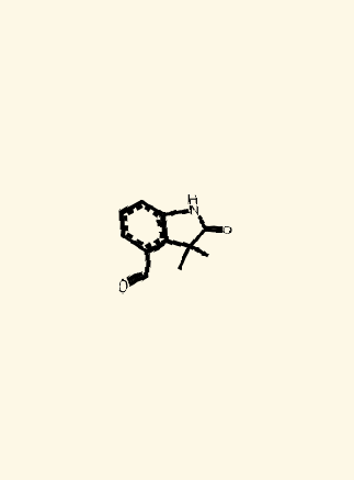 CC1(C)C(=O)Nc2cccc(C=O)c21